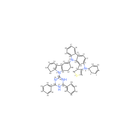 C1=CCC(N2C3=CSCC3c3c2ccc2c4ccccc4n(C4=Cc5c6c(n(C7=NC(c8ccccc8)NC(c8ccccc8)N7)c5CC4)CCC=C6)c32)C=C1